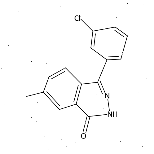 Cc1ccc2c(-c3cccc(Cl)c3)n[nH]c(=O)c2c1